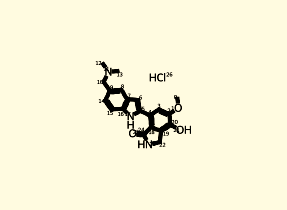 COc1cc(-c2cc3cc(CN(C)C)ccc3[nH]2)c2c(c1O)CNC2=O.Cl